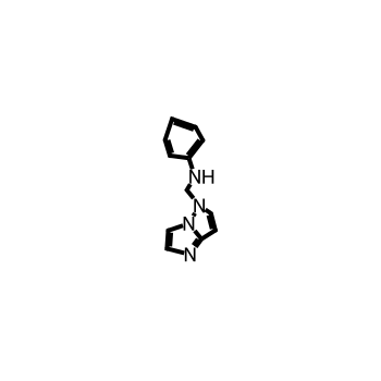 c1ccc(NCn2ccc3nccn32)cc1